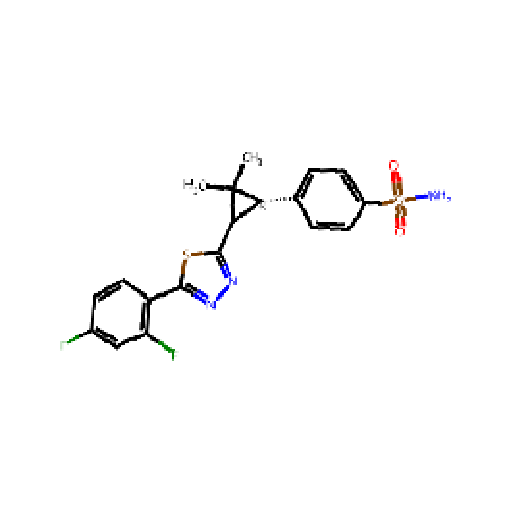 CC1(C)C(c2nnc(-c3ccc(F)cc3F)s2)[C@H]1c1ccc(S(N)(=O)=O)cc1